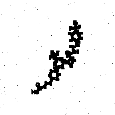 O=C(O)CCCC1CCN(c2cc(N3CCC3C(=O)NCCc3ccc(C(F)(F)F)cc3)nc(C(F)(F)F)n2)CC1